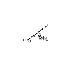 CCCCCCCCCCCCCCCCCC(=O)O.O=[Si](O)O.[AlH3].[MgH2]